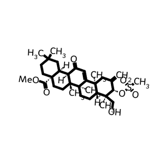 C=C1C[C@]2(C)C3=CC(=O)[C@@H]4[C@@H]5CC(C)(C)CC[C@]5(C(=O)OC)CC[C@@]4(C)[C@]3(C)CC[C@H]2[C@](C)(CO)[C@H]1OS(C)(=O)=O